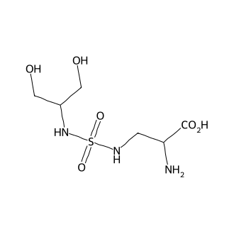 NC(CNS(=O)(=O)NC(CO)CO)C(=O)O